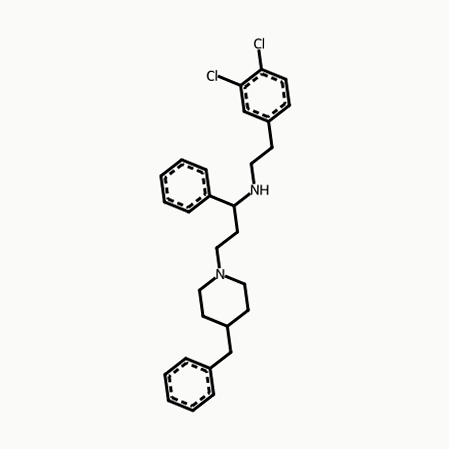 Clc1ccc(CCNC(CCN2CCC(Cc3ccccc3)CC2)c2ccccc2)cc1Cl